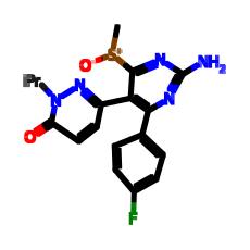 CC(C)n1nc(-c2c(-c3ccc(F)cc3)nc(N)nc2[S+](C)[O-])ccc1=O